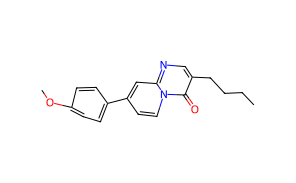 CCCCc1cnc2cc(-c3ccc(OC)cc3)ccn2c1=O